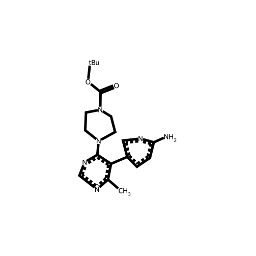 Cc1ncnc(N2CCN(C(=O)OC(C)(C)C)CC2)c1-c1ccc(N)nc1